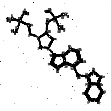 CC(C)(C)[Si](C)(C)OC[C@H]1O[C@@H](n2cnc3c(On4nnc5ccccc54)ncnc32)CC1O[Si](C)(C)C(C)(C)C